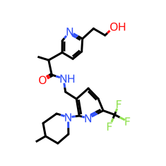 CC1CCN(c2nc(C(F)(F)F)ccc2CNC(=O)C(C)c2ccc(CCO)nc2)CC1